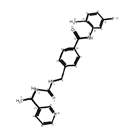 CC(NC(=O)NCc1ccc(C(=O)Nc2cc(F)ccc2N)cc1)c1cccnc1